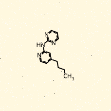 CCCCc1ccnc(Nc2ncccn2)c1